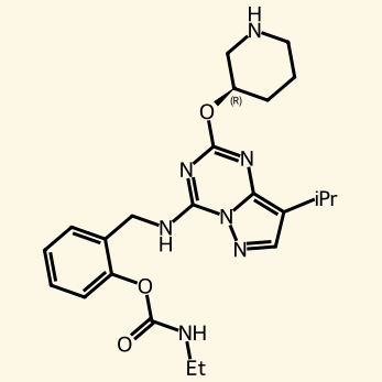 CCNC(=O)Oc1ccccc1CNc1nc(O[C@@H]2CCCNC2)nc2c(C(C)C)cnn12